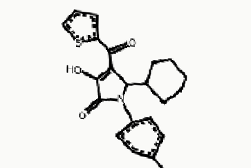 Cc1ccc(N2C(=O)C(O)=C(C(=O)c3cccs3)C2C2CCCCC2)cc1